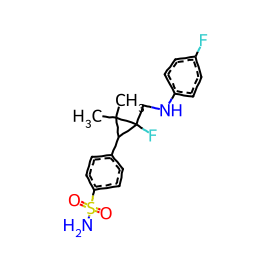 CC1(C)C(c2ccc(S(N)(=O)=O)cc2)C1(F)CNc1ccc(F)cc1